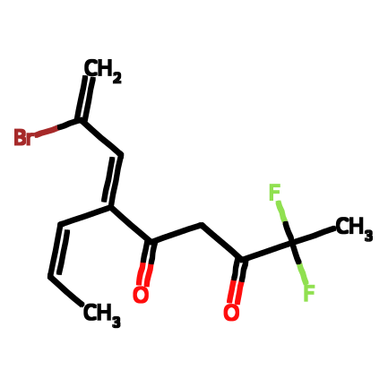 C=C(Br)/C=C(\C=C/C)C(=O)CC(=O)C(C)(F)F